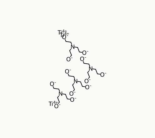 [O-]CCN(CC[O-])CC[O-].[O-]CCN(CC[O-])CC[O-].[O-]CCN(CC[O-])CC[O-].[O-]CCN(CC[O-])CC[O-].[Ti+4].[Ti+4].[Ti+4]